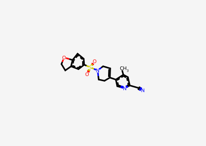 Cc1cc(C#N)ncc1C1=CCN(S(=O)(=O)c2ccc3c(c2)CCO3)CC1